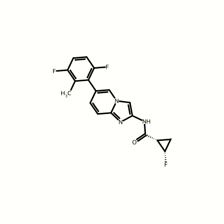 Cc1c(F)ccc(F)c1-c1ccc2nc(NC(=O)[C@@H]3C[C@@H]3F)cn2c1